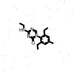 CCNc1ncn(-c2c(CC)cc(C)cc2CC)c(=O)n1